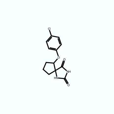 O=C1NC(=O)C2(CCCC2Oc2ccc(Cl)cc2)N1